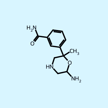 CC1(c2cccc(C(N)=O)c2)CNCC(N)O1